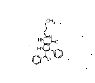 CCCCc1nc(=O)c2c(-c3ccccc3)c(C(=O)c3ccccc3)[nH]c2[nH]1